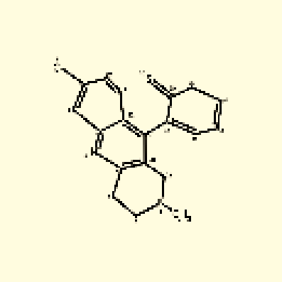 CN1CCc2nc3cc(Cl)ccc3c(C3=CC=CCC3=S)c2C1